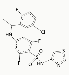 CC(Nc1cc(F)c(S(=O)(=O)Nc2cscn2)c(F)c1)c1cc(Cl)ccc1F